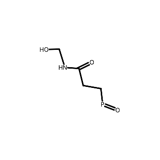 O=PCCC(=O)NCO